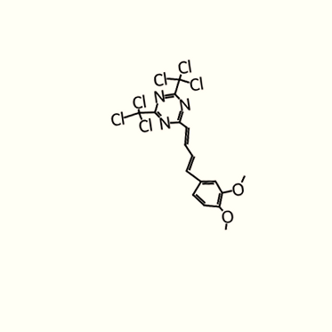 COc1ccc(C=CC=Cc2nc(C(Cl)(Cl)Cl)nc(C(Cl)(Cl)Cl)n2)cc1OC